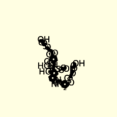 Nc1ccc2c(O)c(/N=N/c3ccc(S(=O)(=O)CCOSOOO)cc3S(=O)(=O)O)c(SOOO)cc2c1/N=N/c1cccc(S(=O)(=O)CCOSOOO)c1